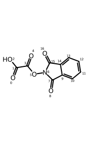 O=C(O)C(=O)ON1C(=O)c2ccccc2C1=O